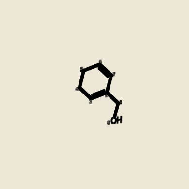 OCC1=CC[CH]C=C1